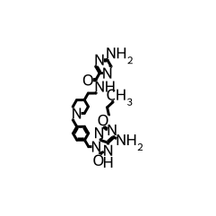 CCCCOc1nc(N)c2[nH]c(=O)n(Cc3ccc(CN4CCC(CCNC(=O)c5cnc(N)cn5)CC4)cc3)c2n1